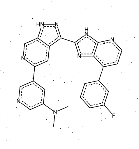 CN(C)c1cncc(-c2cc3c(-c4nc5c(-c6cccc(F)c6)ccnc5[nH]4)n[nH]c3cn2)c1